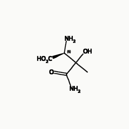 CC(O)(C(N)=O)[C@H](N)C(=O)O